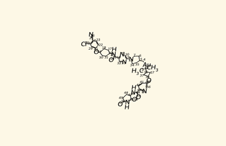 C[C](C)([Au][CH2]C1CCN(c2cnc(C(=O)NC3CCC(Oc4ccc(C#N)c(Cl)c4)CC3)cn2)CC1)C1CC(Oc2ccc(C(=O)NC3CCC(=O)NC3=O)nc2)C1